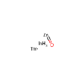 [InH3].[O]=[Zn].[Tm]